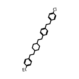 CCc1ccc(CCC2CCC(CCc3ccc(CCc4ccc(Cl)cc4)cc3)CC2)cc1